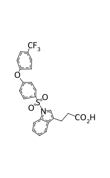 O=C(O)CCc1cn(S(=O)(=O)c2ccc(Oc3ccc(C(F)(F)F)cc3)cc2)c2ccccc12